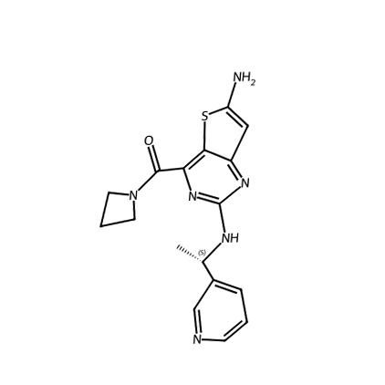 C[C@H](Nc1nc(C(=O)N2CCC2)c2sc(N)cc2n1)c1cccnc1